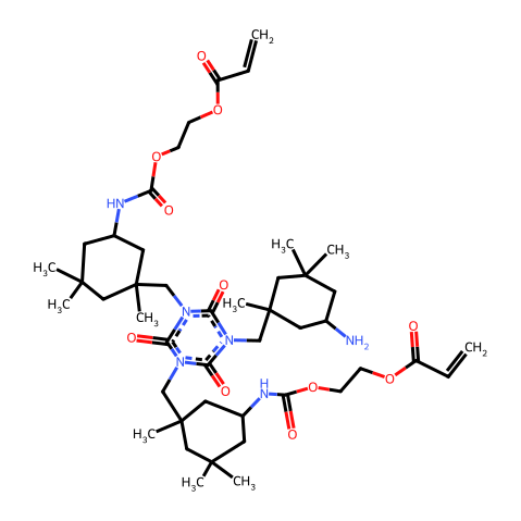 C=CC(=O)OCCOC(=O)NC1CC(C)(C)CC(C)(Cn2c(=O)n(CC3(C)CC(N)CC(C)(C)C3)c(=O)n(CC3(C)CC(NC(=O)OCCOC(=O)C=C)CC(C)(C)C3)c2=O)C1